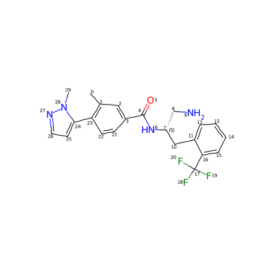 Cc1cc(C(=O)N[C@H](CN)Cc2ccccc2C(F)(F)F)ccc1-c1ccnn1C